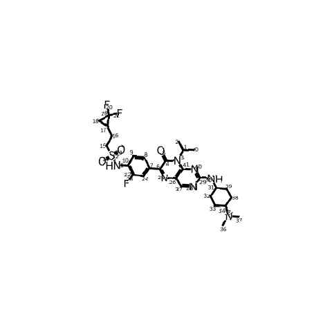 CC(C)n1c(=O)c(-c2ccc(NS(=O)(=O)CCC3CC3(F)F)c(F)c2)nc2cnc(NC3CCC(N(C)C)CC3)nc21